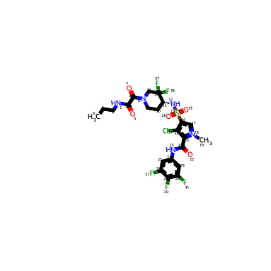 CCCNC(=O)C(=O)N1CC[C@@H](NS(=O)(=O)c2cn(C)c(C(=O)Nc3cc(F)c(F)c(F)c3)c2Cl)C(F)(F)C1